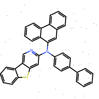 c1ccc(-c2ccc(N(c3cc4sc5ccccc5c4cn3)c3cc4ccccc4c4ccccc34)cc2)cc1